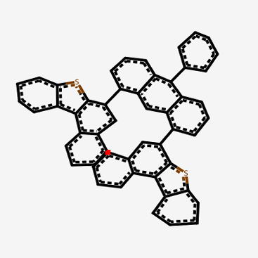 c1ccc(-c2c3cccc(-c4cc5ccccc5c5c4sc4ccccc45)c3cc3c(-c4cc5ccccc5c5c4sc4ccccc45)cccc23)cc1